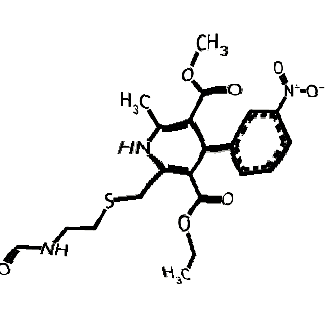 CCOC(=O)C1=C(CSCCNC=O)NC(C)=C(C(=O)OC)C1c1cccc([N+](=O)[O-])c1